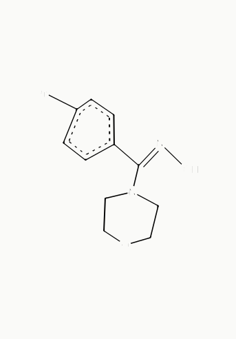 ON=C(c1ccc(Br)cc1)N1CCOCC1